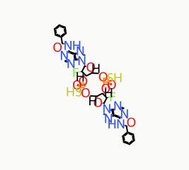 O=C(Nc1ncnc2c1ncn2[C@@H]1O[C@@H]2CO[P@@](=O)(S)O[C@H]3[C@@H](F)[C@H](n4cnc5c(NC(=O)c6ccccc6)ncnc54)O[C@@H]3CO[P@@](=O)(S)O[C@H]2[C@H]1F)c1ccccc1